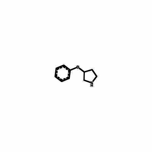 c1ccc(OC2CCNC2)cc1